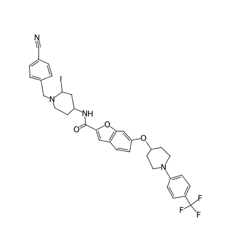 N#Cc1ccc(CN2CCC(NC(=O)c3cc4ccc(OC5CCN(c6ccc(C(F)(F)F)cc6)CC5)cc4o3)CC2I)cc1